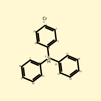 [Cr].c1ccc([SiH](c2ccccc2)c2ccccc2)cc1